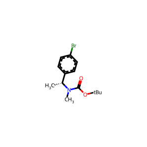 C[C@H](c1ccc(Br)cc1)N(C)C(=O)OC(C)(C)C